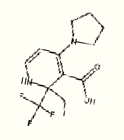 CCC1(C(F)(F)F)NC=CC(N2CCCC2)=C1C(=O)O